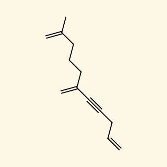 C=CCC#CC(=C)CCCC(=C)C